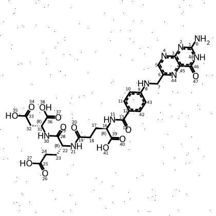 Nc1nc2ncc(CNc3ccc(C(=O)N[C@H](CCC(=O)N[C@H](CCC(=O)O)C(=O)N[C@H](CC(=O)O)C(=O)O)C(=O)O)cc3)nc2c(=O)[nH]1